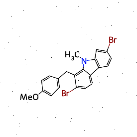 COc1ccc(Cc2c(Br)ccc3c4ccc(Br)cc4n(C)c23)cc1